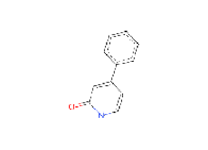 O=C1C=C(c2ccccc2)C=C[N]1